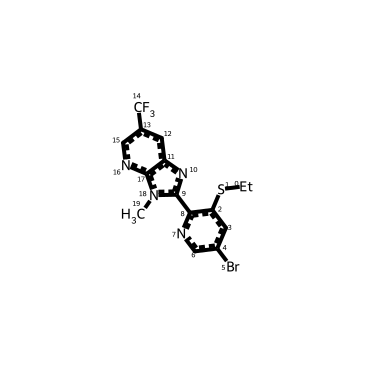 CCSc1cc(Br)cnc1-c1nc2cc(C(F)(F)F)cnc2n1C